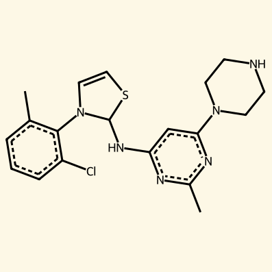 Cc1nc(NC2SC=CN2c2c(C)cccc2Cl)cc(N2CCNCC2)n1